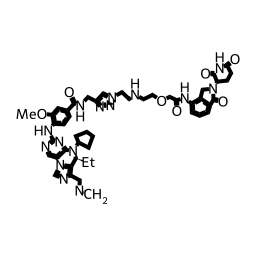 C=NCc1ncn2c1[C@@H](CC)N(C1CCCC1)c1nc(Nc3ccc(C(=O)NCc4cn(CCNCCOCC(=O)Nc5cccc6c5CN(C5CCC(=O)NC5=O)C6=O)nn4)cc3OC)ncc1-2